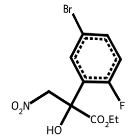 CCOC(=O)C(O)(C[N+](=O)[O-])c1cc(Br)ccc1F